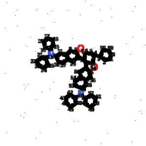 c1ccc(-c2cc3oc4cc5cc(N(c6ccccc6)c6ccccc6)ccc5cc4c3c3c2oc2cc4cc(N(c5ccccc5)c5ccccc5)ccc4cc23)cc1